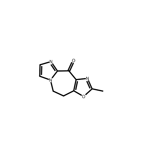 Cc1nc2c(o1)CCn1ccnc1C2=O